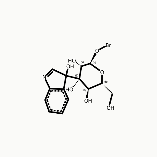 OC[C@H]1O[C@H](OBr)[C@@H](O)[C@](O)(C2(O)C=Nc3ccccc32)[C@@H]1O